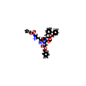 CC(C)(C)OC(=O)NCCCCC(=O)N[C@@H](CC(=O)OCc1ccccc1)C(=O)N[C@@H](Cc1ccccc1)C(=O)OCc1ccccc1